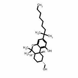 CCCCCCCC(C)(C)c1cc(O)c2c(c1)OC(C)(C)[C@@H]1CC[C@@H](CO)C[C@@H]21